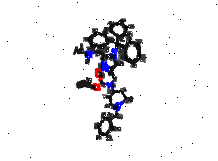 CC(=O)N(C)Cc1nc(CN(C(=O)OC(C)(C)C)C2CCN(Cc3ccccc3)CC2)cn1C(c1ccccc1)(c1ccccc1)c1ccccc1